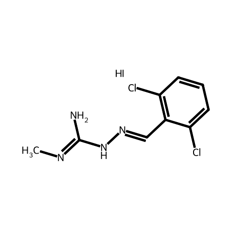 C/N=C(\N)N/N=C/c1c(Cl)cccc1Cl.I